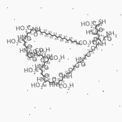 NC(=O)CC[C@H](NC(=O)COCCOCCNC(=O)COCCOCCNC(=O)CC[C@H](NC(=O)CC[C@H](NC(=O)CC[C@H](NC(=O)CC[C@H](NC(=O)CC[C@H](NC(=O)CC[C@H](NC(=O)CC[C@H](NC(=O)CC[C@H](NC(=O)CCCCCCCCCCCCCCCCC(=O)O)C(=O)O)C(=O)O)C(=O)O)C(=O)O)C(=O)O)C(=O)O)C(=O)O)C(=O)O)C(=O)C[C@@H](CS)C(=O)C[C@@H](CS)C(=O)O